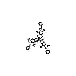 CC(C)(C)c1cc(Cn2c(=O)n(Cc3cc(C(C)(C)C)c(OCc4ccccc4)c(C(C)(C)C)c3)c(=O)n(Cc3ccc(C(C)(C)C)c(OCc4ccccc4)c3C(C)(C)C)c2=O)cc(C(C)(C)C)c1OCc1ccccc1